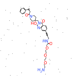 C[C@H](CC(=O)N1CCC(O)(Cn2cnc3cc(C#CCNC(=O)COCCOCCOCCN)ccc3c2=O)CC1)c1ccccc1